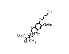 COC(=O)C(C)(C)Cn1cnc2cc(OCCCO)c(OC)cc2c1=O